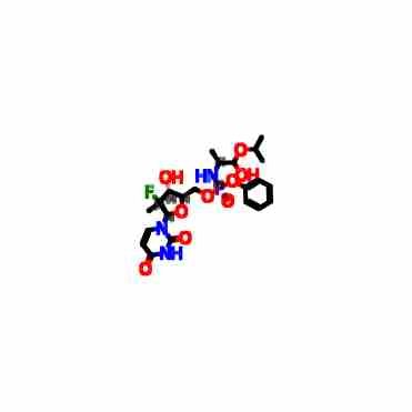 CC(C)OC(O)[C@H](C)N[P@](=O)(OC[C@H]1O[C@@H](n2ccc(=O)[nH]c2=O)[C@](C)(F)[C@@H]1O)Oc1ccccc1